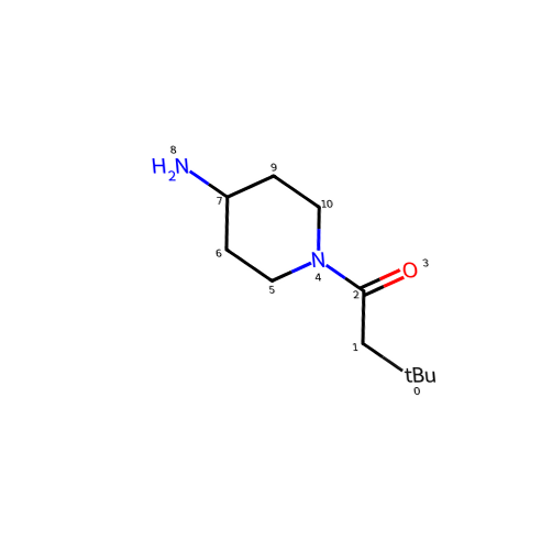 CC(C)(C)CC(=O)N1CCC(N)CC1